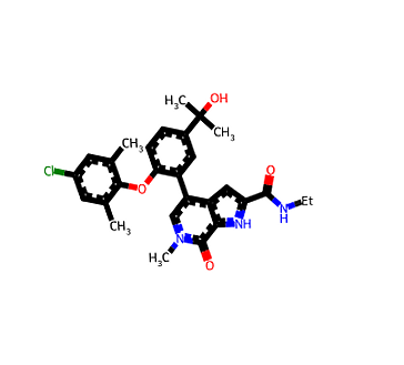 CCNC(=O)c1cc2c(-c3cc(C(C)(C)O)ccc3Oc3c(C)cc(Cl)cc3C)cn(C)c(=O)c2[nH]1